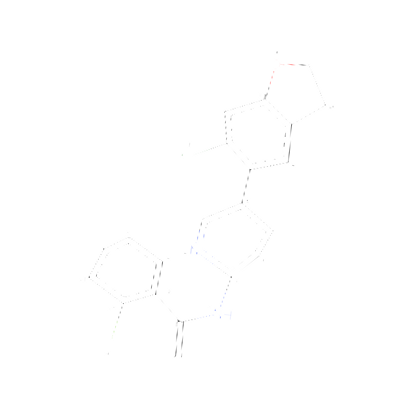 C=C(Nc1ccc(-c2cc3c(cc2Cl)OCC3)cn1)c1ccccc1F